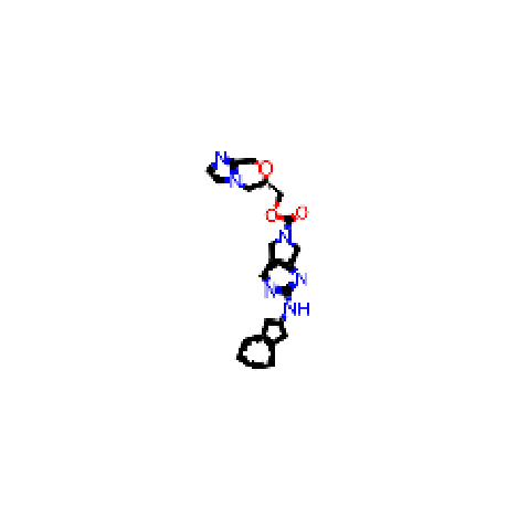 O=C(OC[C@H]1Cn2ccnc2CO1)N1Cc2cnc(NC3Cc4ccccc4C3)nc2C1